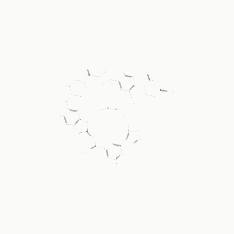 Cc1cc2cc(n1)-c1cnn(C)c1OCCC[C@@H](C)CN1/C(=N/C2=O)Nc2ccc(CN3CCN(C(=O)C4CN(c5cc(F)c([C@H]6CCC(=O)NC6=O)c(F)c5)C4)CC3)cc21